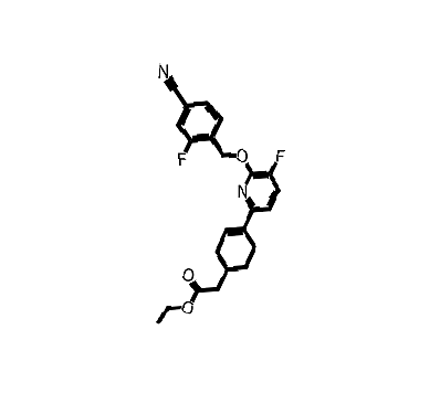 CCOC(=O)CC1CC=C(c2ccc(F)c(OCc3ccc(C#N)cc3F)n2)CC1